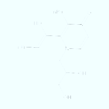 CCC/C=C(\O)c1c(CCCC)c(=O)ccn1CC(O)CO